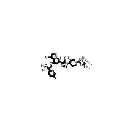 Cc1c(-c2cc(OCC(C)(O)c3ccc(F)cn3)c3c(Cl)cnn3c2)nnn1[C@H]1CCN(C(=O)OC(C)(C)C)C[C@@H]1F